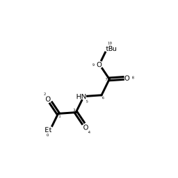 CCC(=O)C(=O)NCC(=O)OC(C)(C)C